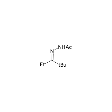 CCC(=NNC(C)=O)C(C)(C)C